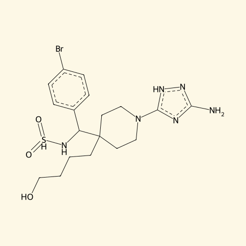 Nc1n[nH]c(N2CCC(CCCCO)(C(N[SH](=O)=O)c3ccc(Br)cc3)CC2)n1